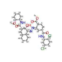 COC(=O)c1ccc(C(=O)Nc2cc(Cl)ccc2Cl)cc1/N=N/c1c(O)c(C(=O)Nc2ccccc2OC)cc2ccccc12